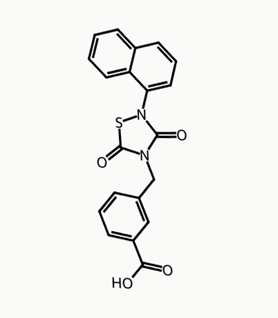 O=C(O)c1cccc(Cn2c(=O)sn(-c3cccc4ccccc34)c2=O)c1